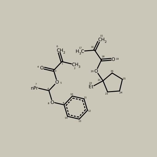 C=C(C)C(=O)OC(CCC)Oc1ccccc1.C=C(C)C(=O)OC1(CC)CCCC1